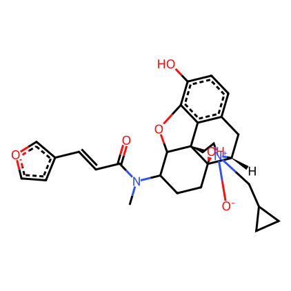 CN(C(=O)/C=C/c1ccoc1)C1CC[C@@]2(O)[C@H]3Cc4ccc(O)c5c4[C@@]2(CC[N+]3([O-])CC2CC2)C1O5